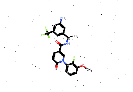 COc1cccc(-n2cc(C(=O)N[C@H](C)c3cc(N)cc(C(F)(F)F)c3)ccc2=O)c1F